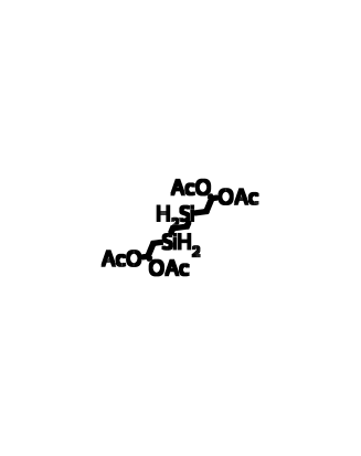 CC(=O)OC(C[SiH2]CC[SiH2]CC(OC(C)=O)OC(C)=O)OC(C)=O